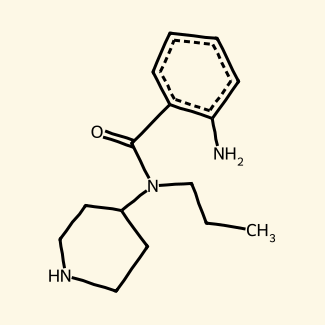 CCCN(C(=O)c1ccccc1N)C1CCNCC1